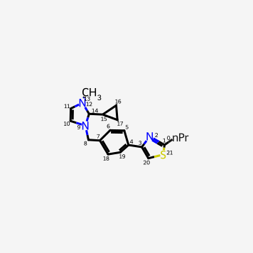 CCCc1nc(-c2ccc(CN3C=CN(C)C3C3CC3)cc2)cs1